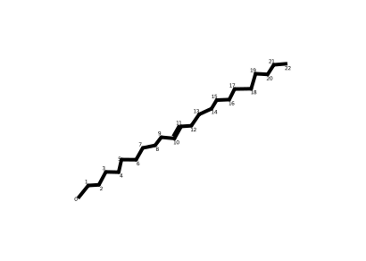 CCCCCCCCCCC=CCCCCCCCCCCC